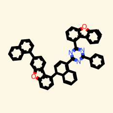 c1ccc2c(c#1)oc1cccc(-c3nc(C4=C5C=CC=CC5C(c5cccc6oc7cc(-c8cccc9ccccc89)ccc7c56)C=C4)nc(-c4ccccc4)n3)c12